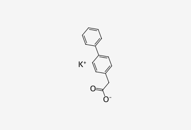 O=C([O-])Cc1ccc(-c2ccccc2)cc1.[K+]